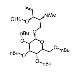 C=C[C@H](OC=O)[C@H](CO[C@H]1OC(COCCCC)[C@H](OCCCC)C(OCCCC)C1OCCCC)NC